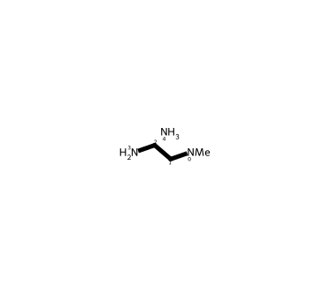 CNCCN.N